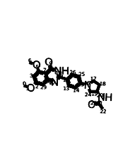 COc1cc(OC)c2c(=O)[nH]c(-c3ccc(N4CCC(NC(C)=O)C4)cc3)nc2c1